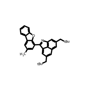 Cc1cc(C2=Nc3cc(CC(C)(C)C)cc4cc(CC(C)(C)C)cc2c34)c2oc3ccccc3c2c1